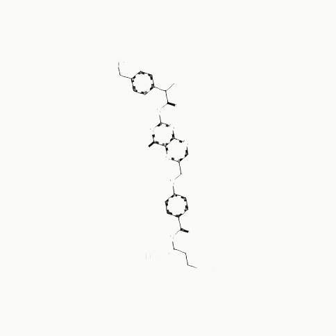 CC(C)Cc1ccc(C(C)C(=O)Nc2nc(=O)c3nc(CNc4ccc(C(=O)N[C@@H](CCC(=O)O)C(=O)O)cc4)cnc3[nH]2)cc1